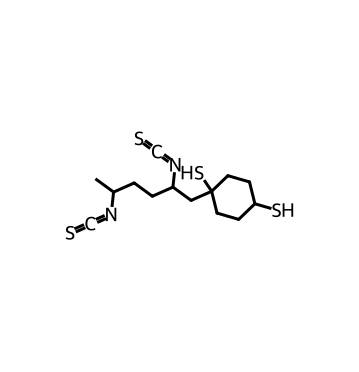 CC(CCC(CC1(S)CCC(S)CC1)N=C=S)N=C=S